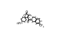 CCCN1CCC2(CC1)OC(=O)C(C)=C2C(=O)N1CCc2ncc(C(F)(F)F)cc2C1